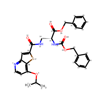 CC(C)Oc1ccnc2cc(C(=O)NC[C@@H](NC(=O)OCc3ccccc3)C(=O)OCc3ccccc3)sc12